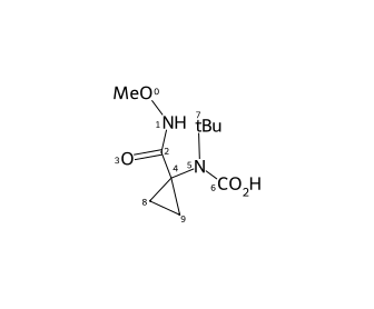 CONC(=O)C1(N(C(=O)O)C(C)(C)C)CC1